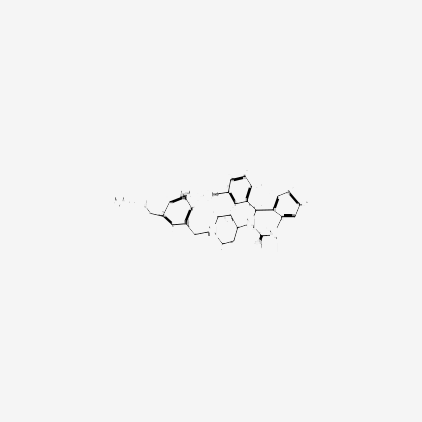 COCc1cccc(CN2CCC(N3C(=O)Nc4ccccc4C3c3cccc(OC)c3)CC2)c1